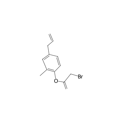 C=CCc1ccc(OC(=C)CBr)c(C)c1